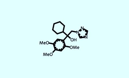 COc1cc(OC)c(C(O)(Cn2cncn2)C2CCCCC2)cc1OC